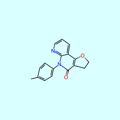 Cc1ccc(-n2c(=O)c3c(c4cccnc42)OCC3)cc1